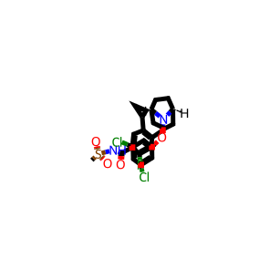 CS(=O)(=O)NC(=O)c1cc(C2CC2)c(CN2[C@@H]3CC[C@H]2C[C@H](Oc2cc(Cl)cc(Cl)c2)C3)cc1F